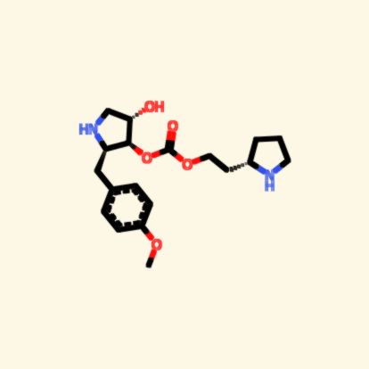 COc1ccc(C[C@H]2NC[C@H](O)[C@H]2OC(=O)OCC[C@@H]2CCCN2)cc1